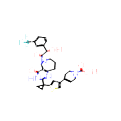 O=C(O)N1CC=C(c2csc(C3(c4nc5c(c(=O)[nH]4)CN(C(=O)C(O)c4cccc(C(F)(F)F)c4)CCC5)CC3)c2)CC1